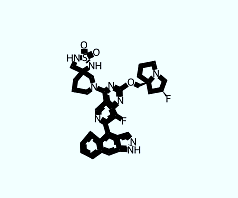 O=S1(=O)NCC2(CCCN(c3nc(OC[C@@]45CCCN4C[C@H](F)C5)nc4c(F)c(-c5c6ccccc6cc6[nH]ncc56)ncc34)C2)N1